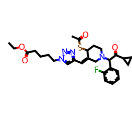 CCOC(=O)CCCCn1cc(C=C2CN(C(C(=O)C3CC3)c3ccccc3F)CCC2SC(C)=O)nn1